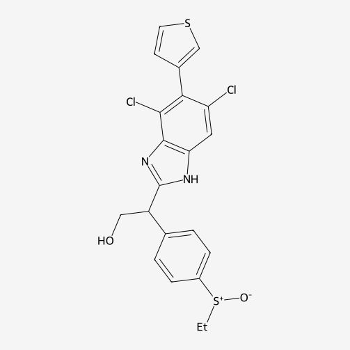 CC[S+]([O-])c1ccc(C(CO)c2nc3c(Cl)c(-c4ccsc4)c(Cl)cc3[nH]2)cc1